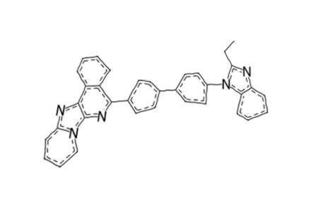 CCc1nc2ccccc2n1-c1ccc(-c2ccc(-c3nc4c(nc5ccccn54)c4ccccc34)cc2)cc1